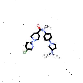 CN(C(=O)C1CCN(c2ccc(Cl)cn2)CC1)c1ccc(N2CCC(N(C)C)C2)cc1